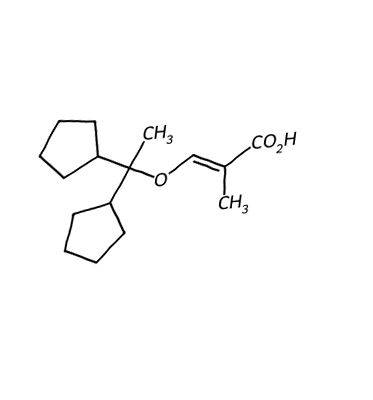 CC(=COC(C)(C1CCCC1)C1CCCC1)C(=O)O